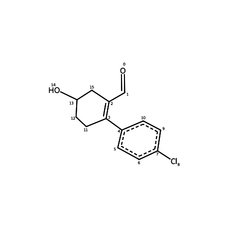 O=CC1=C(c2ccc(Cl)cc2)CCC(O)C1